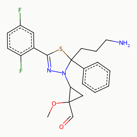 COC1(C=O)CC1N1N=C(c2cc(F)ccc2F)SC1(CCCN)c1ccccc1